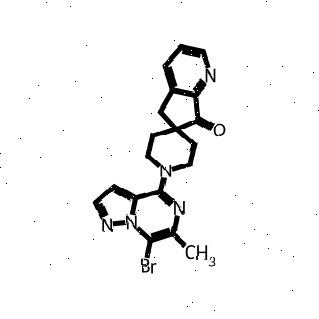 Cc1nc(N2CCC3(CC2)Cc2cccnc2C3=O)c2ccnn2c1Br